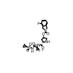 O=C(N[C@]1(C(=O)NS(=O)(=O)C2CC2)C[C@H]1I)[C@@H]1C[C@@H](OC(=O)N2Cc3cccc(F)c3C2)CN1